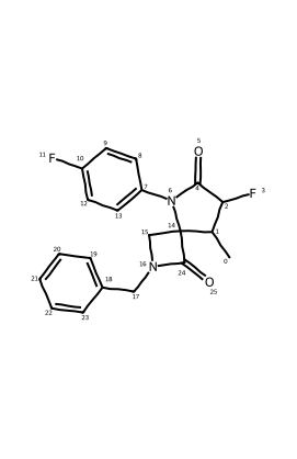 CC1C(F)C(=O)N(c2ccc(F)cc2)C12CN(Cc1ccccc1)C2=O